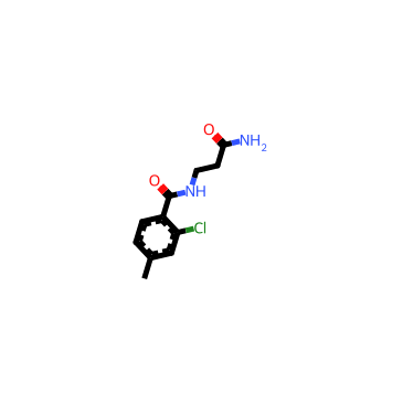 Cc1ccc(C(=O)NCCC(N)=O)c(Cl)c1